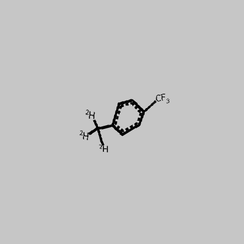 [2H]C([2H])([2H])c1ccc(C(F)(F)F)cc1